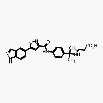 CC(C)(NCCC(=O)O)c1ccc(NC(=O)c2cc(-c3ccc4[nH]ncc4c3)on2)cc1